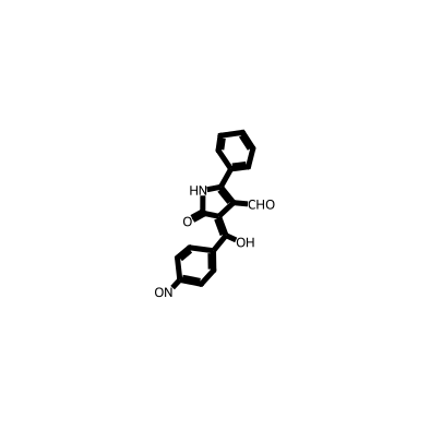 O=CC1=C(c2ccccc2)NC(=O)/C1=C(/O)c1ccc(N=O)cc1